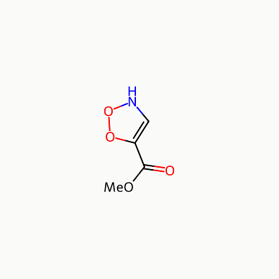 COC(=O)C1=CNOO1